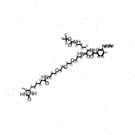 C[C@@H]1NC(=O)N[C@@H]1CCCCCC(=O)NCCCOCCOCCOCCCNC(=O)[C@H](CCCCNC(=O)OC(C)(C)C)NC(=O)c1cccc(N=[N+]=[N-])c1